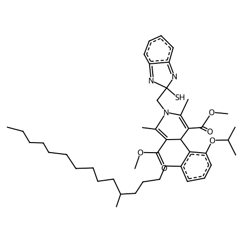 CCCCCCCCCCC(C)CCCCc1cccc(OC(C)C)c1C1C(C(=O)OC)=C(C)N(CC2(S)N=c3ccccc3=N2)C(C)=C1C(=O)OC